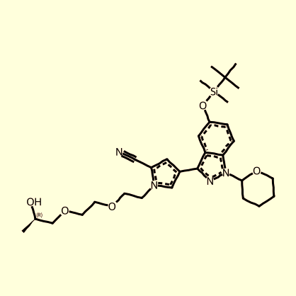 C[C@@H](O)COCCOCCn1cc(-c2nn(C3CCCCO3)c3ccc(O[Si](C)(C)C(C)(C)C)cc23)cc1C#N